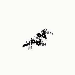 CCCC(=O)Nc1cncc(-c2ccc3[nH]nc(-c4nc5c(-c6cc(F)cc(C(N)S(C)(=O)=O)c6)ccnc5[nH]4)c3n2)c1